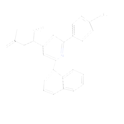 C=C(C)CC(C(=O)O)c1cc(-c2ccc(C(F)(F)F)cc2)nc(-c2cccc3ccccc23)c1